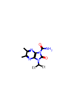 CCC(CC)n1c(=O)n(C(N)=O)c2nc(C)c(C)nc21